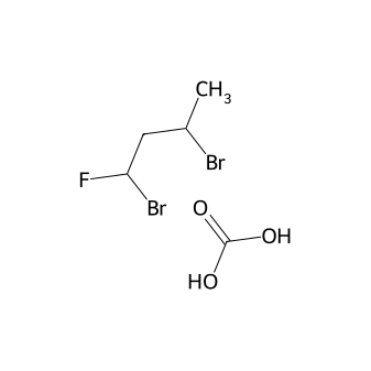 CC(Br)CC(F)Br.O=C(O)O